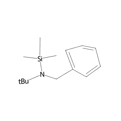 CC(C)(C)N(Cc1ccccc1)[Si](C)(C)C